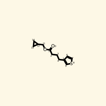 O=C(CCCc1ccsc1)OCC1CC1